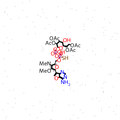 CN[C@H]1[C@@H](OC)[C@H](c2coc3c(N)ncnc23)O[C@@H]1COP(=O)(S)OP(=O)(O)OC1OC([C@H](COC(C)=O)OC(C)=O)C(O)C(OC(C)=O)C1OC(C)=O